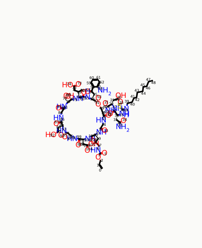 C=CCOC(=O)NCCC[C@@H]1NC(=O)CNC(=O)[C@@H](NC(=O)[C@H](CC(=O)O)NC(=O)[C@@H](CC(N)=O)NC(=S)NCCCCCCCCCC)[C@@H](C)OC(=O)[C@H](CC(=O)c2ccccc2N)NC(=O)[C@H](C(C)CC(=O)O)NC(=O)[C@@H](CO)NC(=O)CNC(=O)[C@H](CC(=O)O)NC(=O)[C@@H](C)NC(=O)[C@H](CC(=O)O)NC1=O